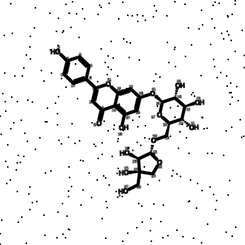 O=c1cc(-c2ccc(O)cc2)oc2cc(O[C@@H]3O[C@H](CO[C@@H]4OC[C@](O)(CO)[C@H]4O)[C@@H](O)[C@H](O)[C@H]3O)cc(O)c12